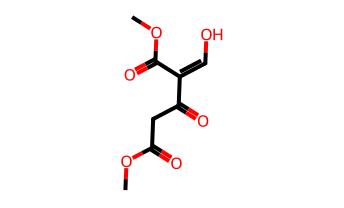 COC(=O)CC(=O)C(=CO)C(=O)OC